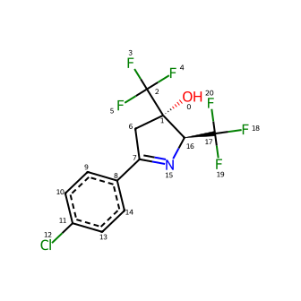 O[C@@]1(C(F)(F)F)CC(c2ccc(Cl)cc2)=N[C@@H]1C(F)(F)F